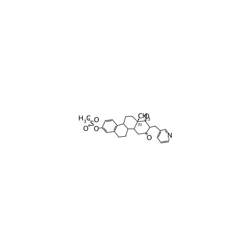 C[C@]12CCC3c4ccc(OS(C)(=O)=O)cc4CCC3C1CC(=O)C(Cc1cccnc1)C2=O